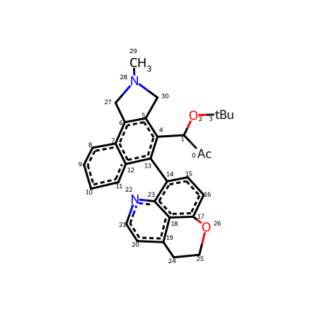 CC(=O)C(OC(C)(C)C)c1c2c(c3ccccc3c1-c1ccc3c4c(ccnc14)CCO3)CN(C)C2